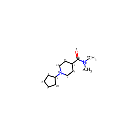 CN(C)C(=O)C1CCN(C2CCCC2)CC1